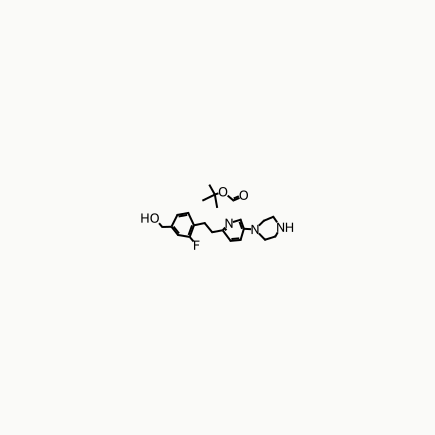 CC(C)(C)OC=O.OCc1ccc(CCc2ccc(N3CCNCC3)cn2)c(F)c1